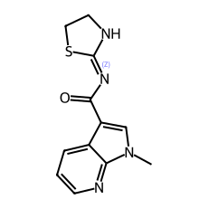 Cn1cc(C(=O)/N=C2/NCCS2)c2cccnc21